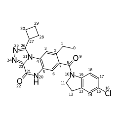 CCc1cc2c(cc1C(=O)N1CCc3cc(Cl)ccc31)[nH]c(=O)c1nnc(C3CCC3)n12